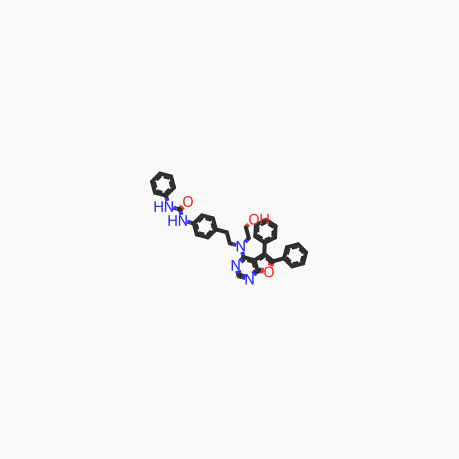 O=C(Nc1ccccc1)Nc1ccc(CCN(CCO)c2ncnc3oc(-c4ccccc4)c(-c4ccccc4)c23)cc1